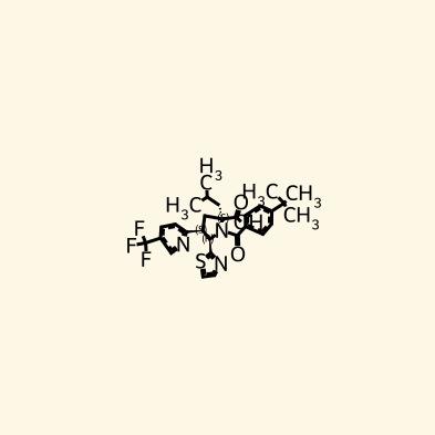 CC(C)C[C@@]1(C(=O)O)C[C@H](c2ccc(C(F)(F)F)cn2)[C@H](c2nccs2)N1C(=O)c1ccc(C(C)(C)C)cc1